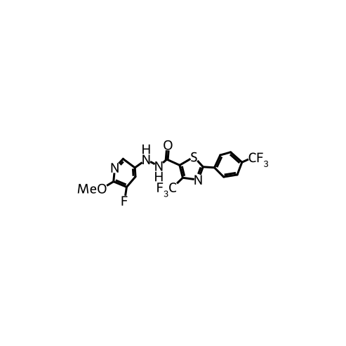 COc1ncc(NNC(=O)c2sc(-c3ccc(C(F)(F)F)cc3)nc2C(F)(F)F)cc1F